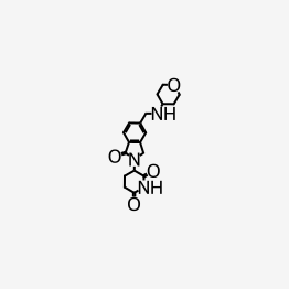 O=C1CCC(N2Cc3cc(CNC4CCOCC4)ccc3C2=O)C(=O)N1